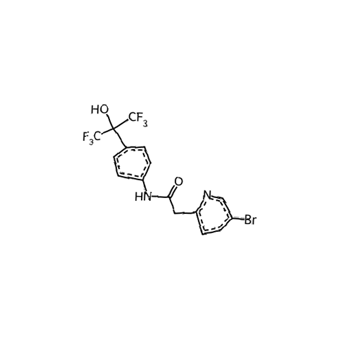 O=C(Cc1ccc(Br)cn1)Nc1ccc(C(O)(C(F)(F)F)C(F)(F)F)cc1